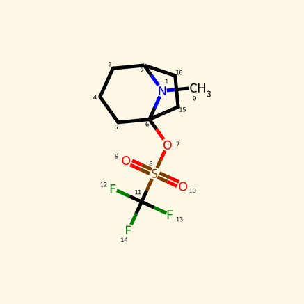 CN1C2CCCC1(OS(=O)(=O)C(F)(F)F)CC2